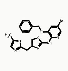 Cc1cnc(CC2CSC(Nc3ncc(Br)cc3OCc3ccccc3)=N2)o1